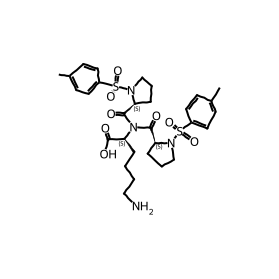 Cc1ccc(S(=O)(=O)N2CCC[C@H]2C(=O)N(C(=O)[C@@H]2CCCN2S(=O)(=O)c2ccc(C)cc2)[C@@H](CCCCN)C(=O)O)cc1